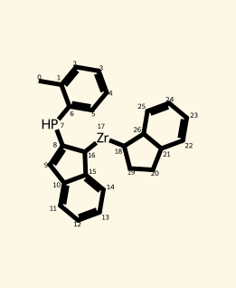 Cc1ccccc1PC1=Cc2ccccc2[CH]1[Zr][CH]1CCC2C=CC=CC21